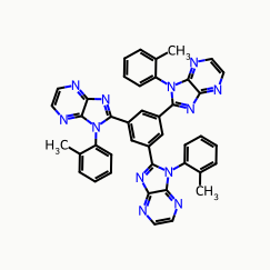 Cc1ccccc1-n1c(-c2cc(-c3nc4nccnc4n3-c3ccccc3C)cc(-c3nc4nccnc4n3-c3ccccc3C)c2)nc2nccnc21